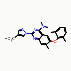 Cc1cc2nc(-n3cc(C(=O)O)cn3)nc(N(C)C)c2cc1Oc1c(C)cccc1C